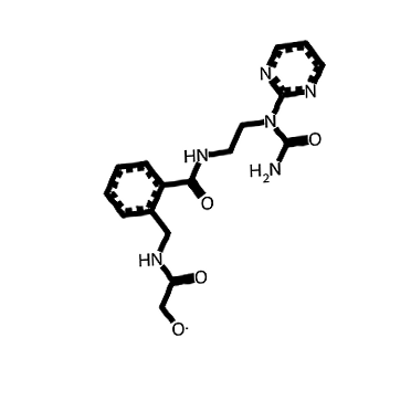 NC(=O)N(CCNC(=O)c1ccccc1CNC(=O)C[O])c1ncccn1